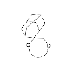 C1COCC2(OC1)C1CC3CC(C1)CC2C3